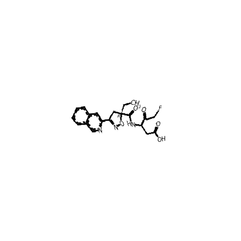 CC[C@]1(C(=O)NC(CC(=O)O)C(=O)CF)CC(c2cc3ccccc3cn2)=NO1